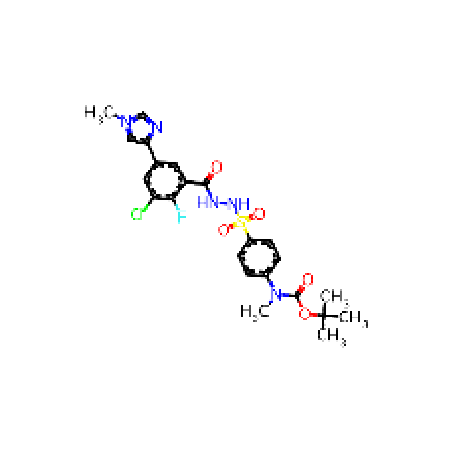 CN(C(=O)OC(C)(C)C)c1ccc(S(=O)(=O)NNC(=O)c2cc(-c3cn(C)cn3)cc(Cl)c2F)cc1